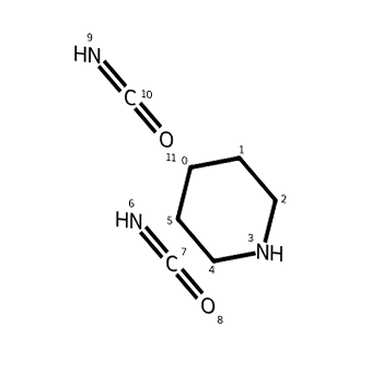 C1CCNCC1.N=C=O.N=C=O